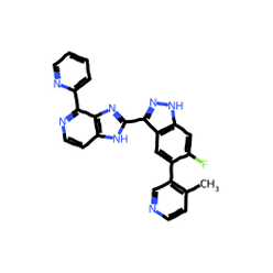 Cc1ccncc1-c1cc2c(-c3nc4c(-c5ccccn5)nccc4[nH]3)n[nH]c2cc1F